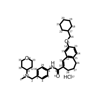 CN(Cc1ccc(NC(=O)C2=Cc3cc(OCC4CCCCC4)ccc3CCC2)cc1)C1CCOCC1.Cl